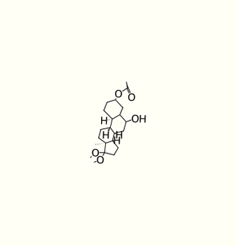 COC1(OC)CC[C@H]2[C@@H]3CC(O)C4C[C@@H](OC(C)=O)CC[C@@H]4[C@H]3CC[C@@]21C